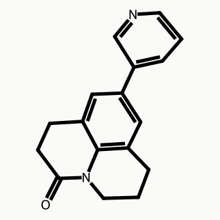 O=C1CCc2cc(-c3cccnc3)cc3c2N1CCC3